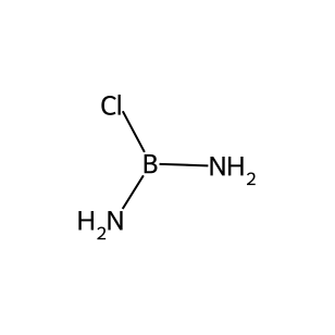 NB(N)Cl